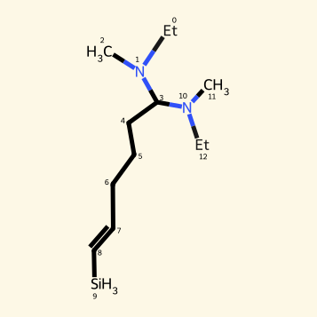 CCN(C)C(CCCC=C[SiH3])N(C)CC